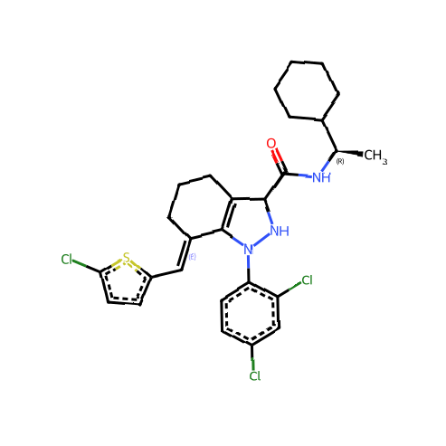 C[C@@H](NC(=O)C1NN(c2ccc(Cl)cc2Cl)C2=C1CCC/C2=C\c1ccc(Cl)s1)C1CCCCC1